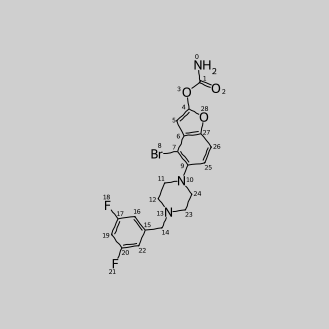 NC(=O)Oc1cc2c(Br)c(N3CCN(Cc4cc(F)cc(F)c4)CC3)ccc2o1